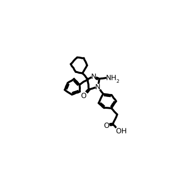 NC1=NC(c2ccccc2)(C2CCCCC2)C(=O)N1c1ccc(CC(=O)O)cc1